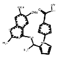 CCCNC(=O)c1ccc([SH]2C=CC=C2C(C)Nc2nc(C)nc3cc(OC)c(OC)cc23)cc1